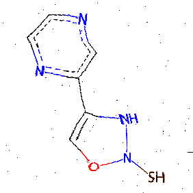 SN1NC(c2cnccn2)=CO1